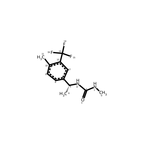 CNC(=O)N[C@H](C)c1ccc(C)c(C(F)(F)F)c1